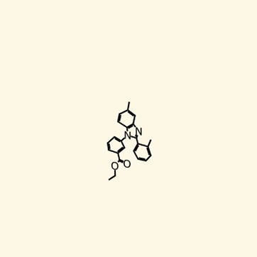 CCOC(=O)c1cccc(-n2c(-c3ccccc3C)nc3cc(C)ccc32)c1